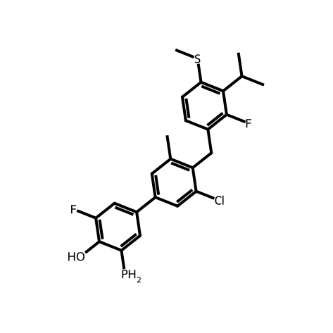 CSc1ccc(Cc2c(C)cc(-c3cc(F)c(O)c(P)c3)cc2Cl)c(F)c1C(C)C